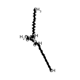 C#CC#CC#CC#CC#CC#CC#CC#CC#CNC(=O)OCC(COC(=O)C=C)OC(=O)NCCCCCCCCCCCCCCCCCC